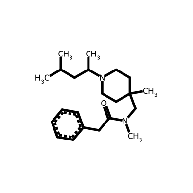 CC(C)CC(C)N1CCC(C)(CN(C)C(=O)Cc2ccccc2)CC1